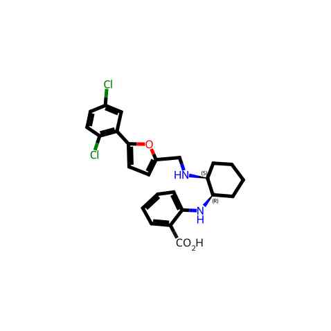 O=C(O)c1ccccc1N[C@@H]1CCCC[C@@H]1NCc1ccc(-c2cc(Cl)ccc2Cl)o1